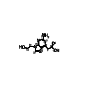 Nc1nc(CC(=O)O)c2ncn(CCO)c2n1